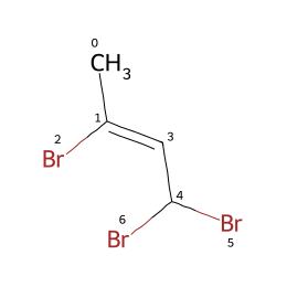 C/C(Br)=C/C(Br)Br